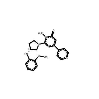 COc1ccccc1N[C@@H]1CCN(c2nc(-c3ccncc3)cc(=O)n2C)C1